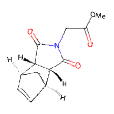 COC(=O)CN1C(=O)[C@@H]2[C@H](C1=O)[C@H]1C=C[C@@H]2C1